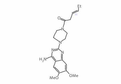 CC/C=C/CC(=O)N1CCN(c2nc(N)c3cc(OC)c(OC)cc3n2)CC1